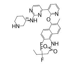 CCC(F)(F)CS(=O)(=O)Nc1c(F)ccc2c(Oc3ncccc3-c3ccnc(N[C@@H]4CCCNC4)n3)c(C)ccc12